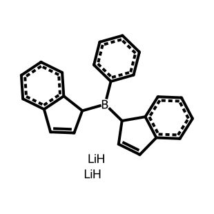 C1=CC(B(c2ccccc2)C2C=Cc3ccccc32)c2ccccc21.[LiH].[LiH]